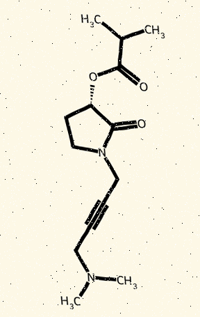 CC(C)C(=O)O[C@H]1CCN(CC#CCN(C)C)C1=O